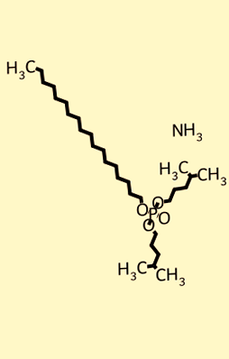 CCCCCCCCCCCCCCCCCCOP(=O)(OCCCC(C)C)OCCCC(C)C.N